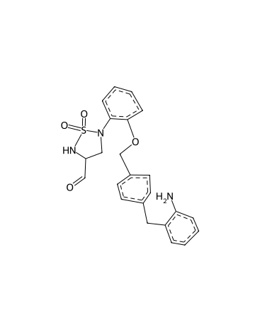 Nc1ccccc1Cc1ccc(COc2ccccc2N2CC(C=O)NS2(=O)=O)cc1